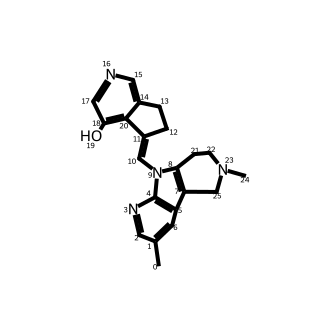 Cc1cnc2c(c1)c1c(n2/C=C2\CCc3cncc(O)c32)CCN(C)C1